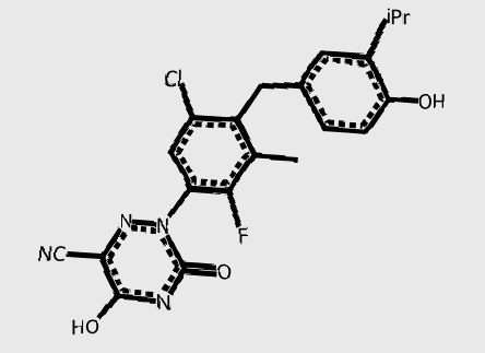 Cc1c(F)c(-n2nc(C#N)c(O)nc2=O)cc(Cl)c1Cc1ccc(O)c(C(C)C)c1